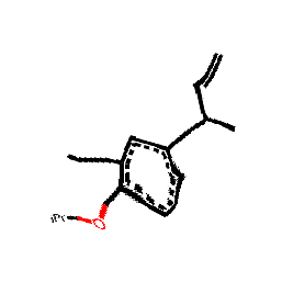 C=C[C](C)c1ccc(OC(C)C)c(C)c1